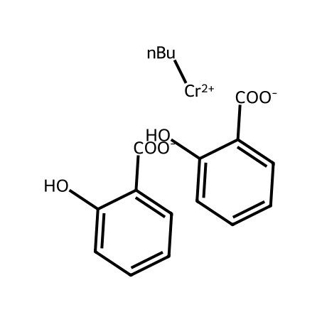 CCC[CH2][Cr+2].O=C([O-])c1ccccc1O.O=C([O-])c1ccccc1O